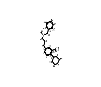 CN(CCCc1ccc(C2CCCCC2)c(Cl)c1)Cc1ccccc1